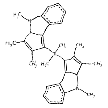 CC1=C(C)C2C(=[C]1[Ti]([CH3])([CH3])[C]1=C3c4ccccc4N(C)C3C(C)=C1C)c1ccccc1N2C